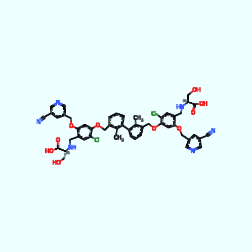 Cc1c(COc2cc(OCc3cncc(C#N)c3)c(CN[C@@H](CO)C(=O)O)cc2Cl)cccc1-c1cccc(COc2cc(OCc3cncc(C#N)c3)c(CN[C@H](CO)C(=O)O)cc2Cl)c1C